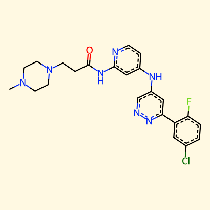 CN1CCN(CCC(=O)Nc2cc(Nc3cnnc(-c4cc(Cl)ccc4F)c3)ccn2)CC1